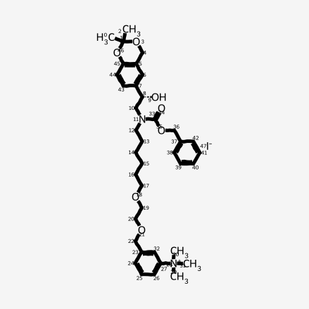 CC1(C)OCc2cc([C@H](O)CN(CCCCCCOCCOCc3cccc([N+](C)(C)C)c3)C(=O)OCc3ccccc3)ccc2O1.[I-]